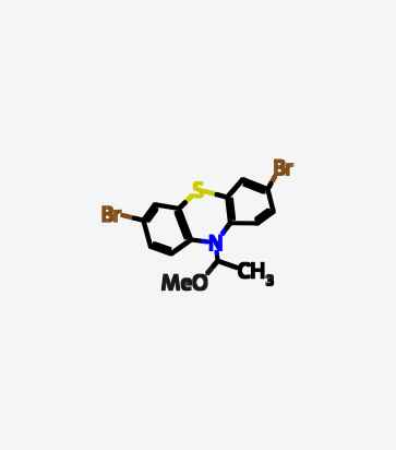 COC(C)N1c2ccc(Br)cc2Sc2cc(Br)ccc21